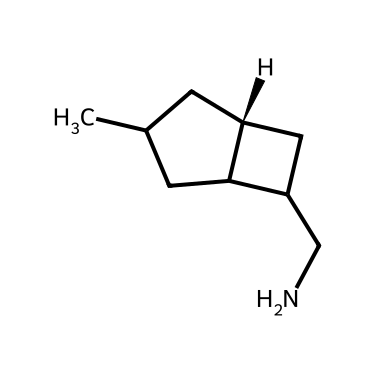 CC1CC2C(CN)C[C@H]2C1